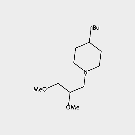 CCCCC1CCN(CC(COC)OC)CC1